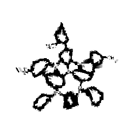 Cc1ccc2c(c1)c1cc(N(c3ccccc3)c3ccccc3)cc3c1n2-c1cc(-c2ccccc2C#N)cc2c1B3c1cc(N(c3ccccc3)c3ccccc3)cc3c4cc(C)ccc4n-2c13